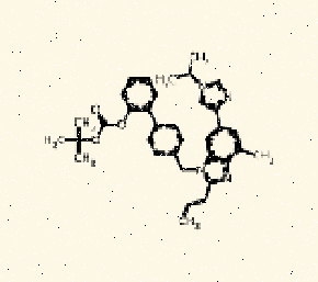 CCCc1nc2c(C)cc(-c3cn(C(C)C)cn3)cc2n1Cc1ccc(-c2ccccc2OC(=O)OC(C)(C)C)cc1